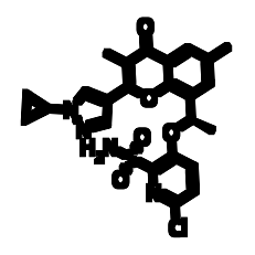 Cc1cc([C@@H](C)Oc2ccc(Cl)nc2S(N)(=O)=O)c2oc(-c3cnn(C4CC4)c3)c(C)c(=O)c2c1